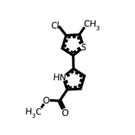 COC(=O)c1ccc(-c2cc(Cl)c(C)s2)[nH]1